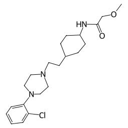 COCC(=O)NC1CCC(CCN2CCN(c3ccccc3Cl)CC2)CC1